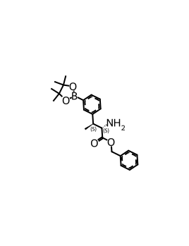 C[C@@H](c1cccc(B2OC(C)(C)C(C)(C)O2)c1)[C@H](N)C(=O)OCc1ccccc1